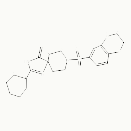 O=C1NC(C2CCCCC2)=NC12CCN(S(=O)(=O)c1ccc3c(c1)OCCO3)CC2